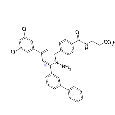 C=C(/C=C(/c1cccc(-c2ccccc2)c1)N(N)Cc1ccc(C(=O)NCCC(=O)O)cc1)c1cc(Cl)cc(Cl)c1